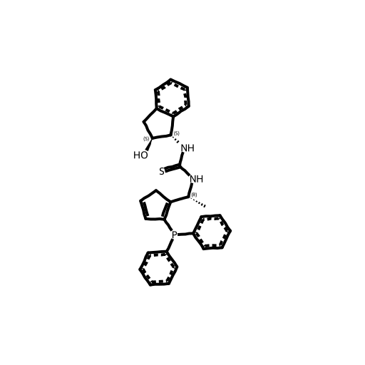 C[C@@H](NC(=S)N[C@H]1c2ccccc2C[C@@H]1O)C1=C(P(c2ccccc2)c2ccccc2)C=CC1